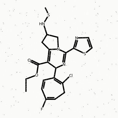 CCOC(=O)C1=C2CC(NSC)CN2C(c2nccs2)=NC1C1=C(Cl)CC=C(F)C=C1